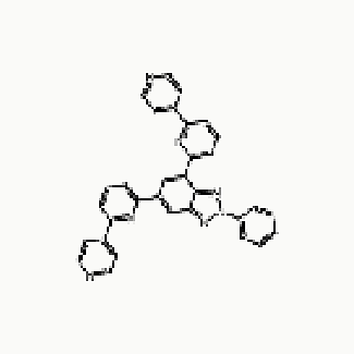 c1ccc(-n2nc3cc(-c4cccc(-c5ccncc5)n4)cc(-c4cccc(-c5ccncc5)n4)c3n2)cc1